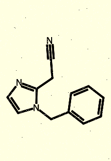 N#CCc1nccn1Cc1ccccc1